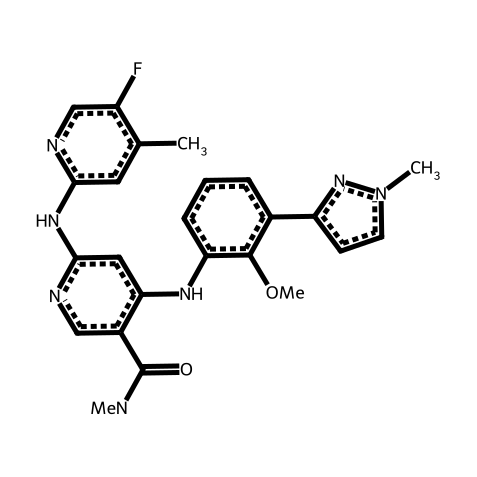 CNC(=O)c1cnc(Nc2cc(C)c(F)cn2)cc1Nc1cccc(-c2ccn(C)n2)c1OC